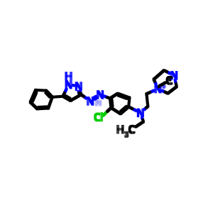 CCN(CC[N+]12CCN(CC1)CC2)c1ccc(/N=N/c2cc(-c3ccccc3)[nH]n2)c(Cl)c1